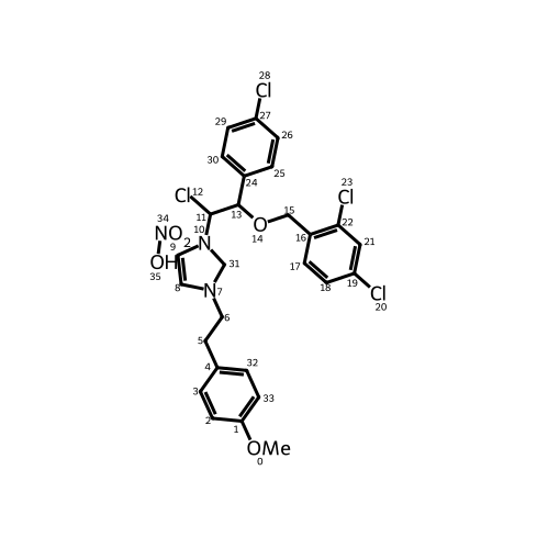 COc1ccc(CCN2C=CN(C(Cl)C(OCc3ccc(Cl)cc3Cl)c3ccc(Cl)cc3)C2)cc1.O=[N+]([O-])O